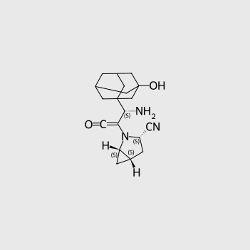 N#C[C@@H]1C[C@@H]2C[C@@H]2N1C(=C=O)[C@@H](N)C12CC3CC(CC(O)(C3)C1)C2